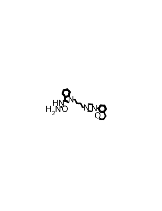 NC(=O)Nc1cn(CCCCN2CCN(c3cccc4c3OCCC4)CC2)c2ccccc12